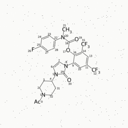 CC(=O)N1CCC(n2ccn(-c3cc(C(F)(F)F)cc(C(F)(F)F)c3OC(=O)N(C)c3ccc(F)cc3)c2=O)CC1